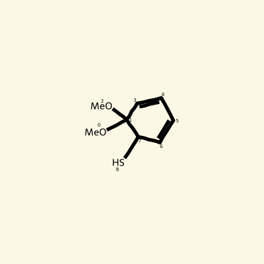 COC1(OC)C=CC=CC1S